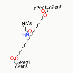 CCCCCC(CCCCC)CC(=O)OCCCCCCCCCCC(CCCCCCCCCCOC(=O)CC(CCCCC)CCCCC)NC(=O)CCCNC